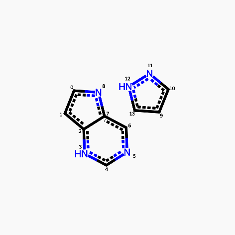 c1cc2[nH]cncc-2n1.c1cn[nH]c1